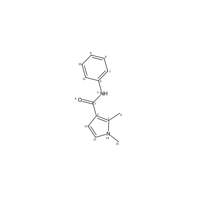 Cc1c(C(=O)Nc2ccccc2)ccn1C